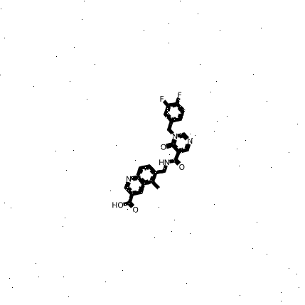 Cc1c(CNC(=O)c2cncn(Cc3ccc(F)c(F)c3)c2=O)ccc2ncc(C(=O)O)cc12